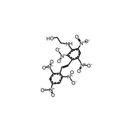 O=[N+]([O-])c1cc([N+](=O)[O-])c(C=Cc2c([N+](=O)[O-])cc([N+](=O)[O-])c(NCCO)c2[N+](=O)[O-])c([N+](=O)[O-])c1